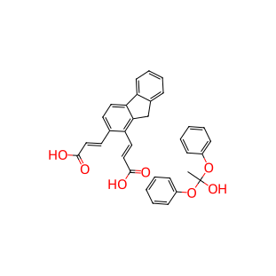 CC(O)(Oc1ccccc1)Oc1ccccc1.O=C(O)C=Cc1ccc2c(c1C=CC(=O)O)Cc1ccccc1-2